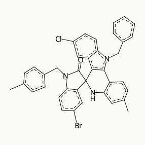 Cc1ccc(CN2C(=O)C3(Nc4cc(C)ccc4-c4c3c3cc(Cl)ccc3n4Cc3ccccc3)c3cc(Br)ccc32)cc1